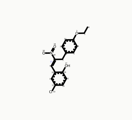 CCOc1ccc(C/C(=C\c2cc(Cl)ccc2O)[N+](=O)[O-])cc1